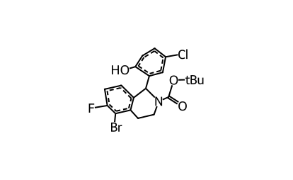 CC(C)(C)OC(=O)N1CCc2c(ccc(F)c2Br)C1c1cc(Cl)ccc1O